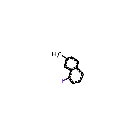 Cc1ccc2cccc(I)c2c1